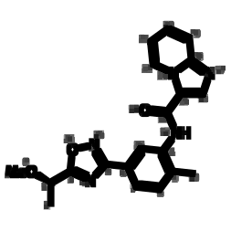 CO[C@H](C)c1nc(-c2ccc(C)c(NC(=O)c3cnc4ccccn34)c2)no1